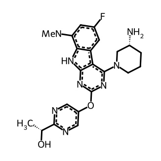 CNc1cc(F)cc2c1[nH]c1nc(Oc3cnc([C@@H](C)O)nc3)nc(N3CCC[C@@H](N)C3)c12